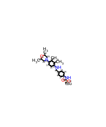 Cc1c(NCc2ccc(NS(=O)(=O)C(C)(C)C)cc2)ccc(N2C[C@@H](C)O[C@@H](C)C2)c1C